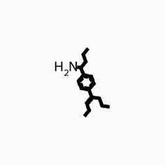 CC/C=C(\CCC)c1ccc(C(N)CCC)cc1